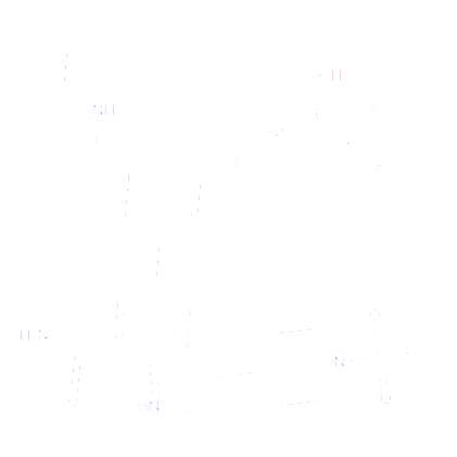 CCS(=O)(=O)N1CCC(c2c[nH]c3c(C(N)=O)cc(-c4cc(F)cc(CNC(C)C)c4)cc23)CC1.O=C(O)C(F)(F)F